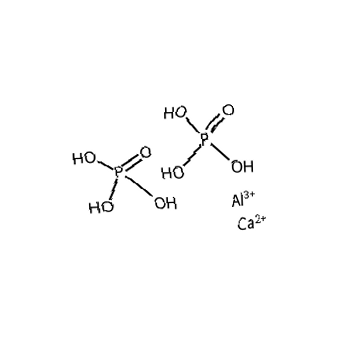 O=P(O)(O)O.O=P(O)(O)O.[Al+3].[Ca+2]